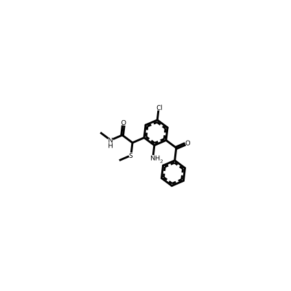 CNC(=O)C(SC)c1cc(Cl)cc(C(=O)c2ccccc2)c1N